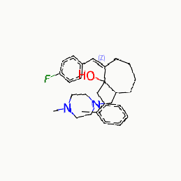 Cc1ccccc1CC1(O)/C(=C\c2ccc(F)cc2)CCCCC1CN1CCN(C)CC1